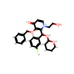 O=c1ccn(CCO)c(C(OC2CCCCO2)c2cccc(F)c2)c1OCc1ccccc1